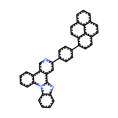 c1cc2ccc3ccc(-c4ccc(-c5cc6c(cn5)c5ccccc5n5c7ccccc7nc65)cc4)c4ccc(c1)c2c34